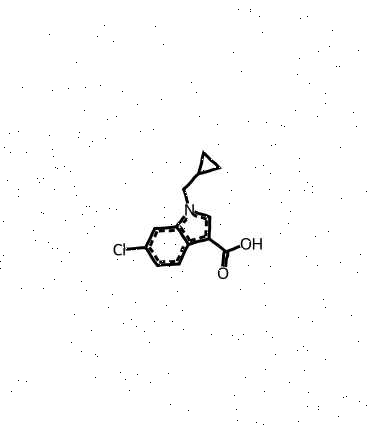 O=C(O)c1cn(CC2CC2)c2cc(Cl)ccc12